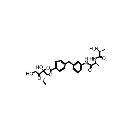 CC[C@H]1OC(c2ccc(Cc3cccc(NC(=O)[C@H](C)NC(=O)[C@H](C)N)c3)cc2)O[C@]1(O)C(=O)CO